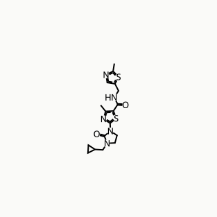 Cc1ncc(CNC(=O)c2sc(N3CCN(CC4CC4)C3=O)nc2C)s1